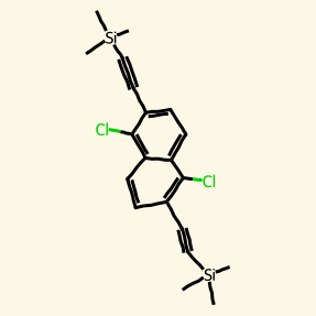 C[Si](C)(C)C#Cc1ccc2c(Cl)c(C#C[Si](C)(C)C)ccc2c1Cl